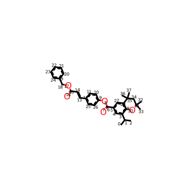 CC(C)c1cc(C(=O)Oc2ccc(C=CC(=O)OCc3ccccc3)cc2)cc2c1OC(C)(C)CC2(C)C